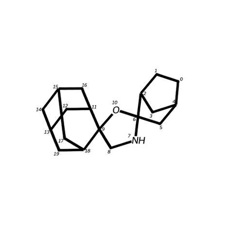 C1CC2CC1CC21NCC2(O1)C1CC3CC(C1)CC2C3